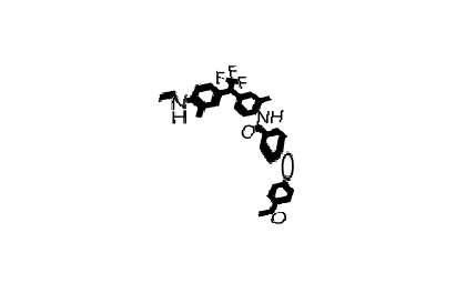 CCNc1ccc(C(c2ccc(NC(=O)c3ccc(Oc4ccc(C(C)=O)cc4)cc3)c(C)c2)C(F)(F)F)cc1C